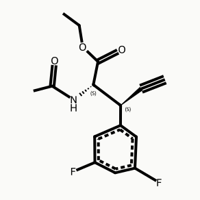 C#C[C@@H](c1cc(F)cc(F)c1)[C@H](NC(C)=O)C(=O)OCC